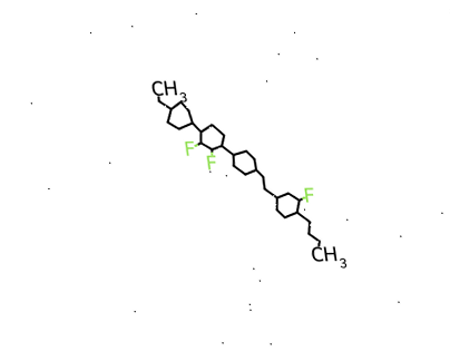 CCCCC1CCC(CCC2CCC(C3CCC(C4CCC(CC)CC4)C(F)C3F)CC2)CC1F